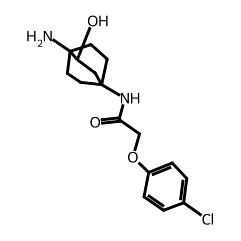 NC12CCC(NC(=O)COc3ccc(Cl)cc3)(CC1)CC2O